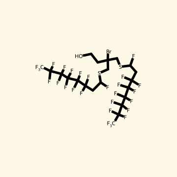 OCCC(Br)(CSC(F)CC(F)(F)C(F)(F)C(F)(F)C(F)(F)C(F)(F)C(F)(F)F)CSC(F)CC(F)(F)C(F)(F)C(F)(F)C(F)(F)C(F)(F)C(F)(F)F